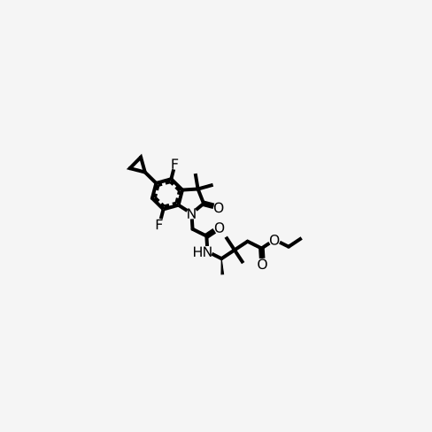 CCOC(=O)CC(C)(C)[C@@H](C)NC(=O)CN1C(=O)C(C)(C)c2c(F)c(C3CC3)cc(F)c21